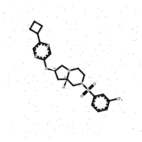 O=S(=O)(c1cccc(C(F)(F)F)c1)N1CCN2C[C@H](Oc3cnc(C4CCC4)cn3)C[C@H]2C1